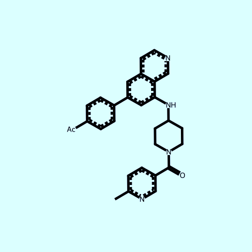 CC(=O)c1ccc(-c2cc(NC3CCN(C(=O)c4ccc(C)nc4)CC3)c3cnccc3c2)cc1